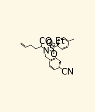 C=CCCC(C(=O)OCC)N(Cc1ccc(C#N)cc1)S(=O)(=O)c1ccc(C)cc1